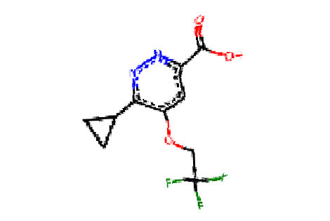 O=C(O)c1cc(OCC(F)(F)F)c(C2CC2)nn1